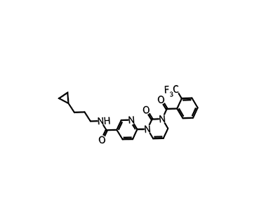 O=C(NCCCC1CC1)c1ccc(N2C=CCN(C(=O)c3ccccc3C(F)(F)F)C2=O)nc1